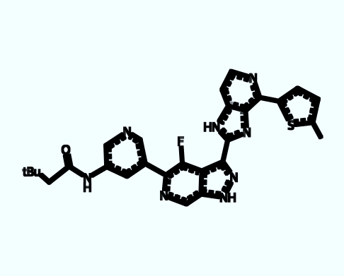 Cc1ccc(-c2nccc3[nH]c(-c4n[nH]c5cnc(-c6cncc(NC(=O)CC(C)(C)C)c6)c(F)c45)nc23)s1